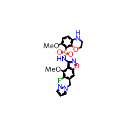 COc1ccc2c(c1S(=O)(=O)Nc1noc3cc(Cn4cccn4)c(F)c(OC)c13)OCCN2